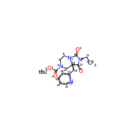 CC(C)(C)OC(=O)N1CCN2C(=O)N(CC(F)(F)F)C(=O)[C@]2(Cc2ccccn2)C1